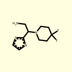 NCC(c1nccs1)N1CCC(F)(F)CC1